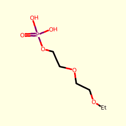 CCOCCOCCOP(=O)(O)O